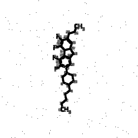 CCCCCC1CCC(c2cc3c(c(F)c2F)C2C(F)=C(F)C(CCC)=CC2C3)CC1